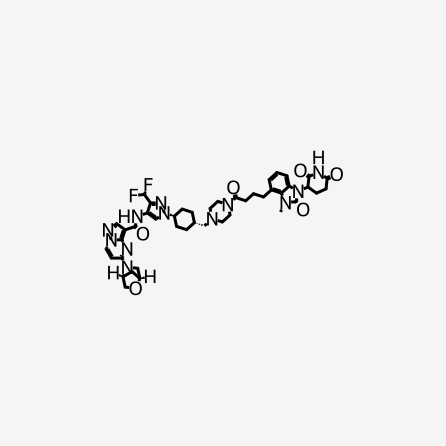 Cn1c(=O)n(C2CCC(=O)NC2=O)c2cccc(CCCC(=O)N3CCN(C[C@H]4CC[C@H](n5cc(NC(=O)c6cnn7ccc(N8C[C@H]9C[C@@H]8CO9)nc67)c(C(F)F)n5)CC4)CC3)c21